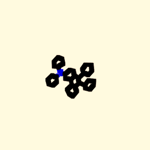 c1ccc(-c2c(-c3ccccc3)c3ccc(N(c4ccccc4)c4ccccc4)cc3c3ccccc23)cc1